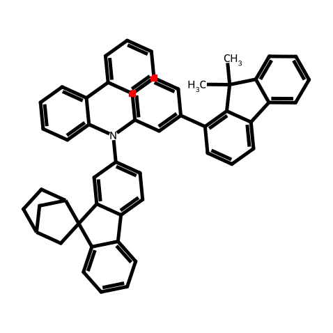 CC1(C)c2ccccc2-c2cccc(-c3cccc(N(c4ccc5c(c4)C4(CC6CCC4C6)c4ccccc4-5)c4ccccc4-c4ccccc4)c3)c21